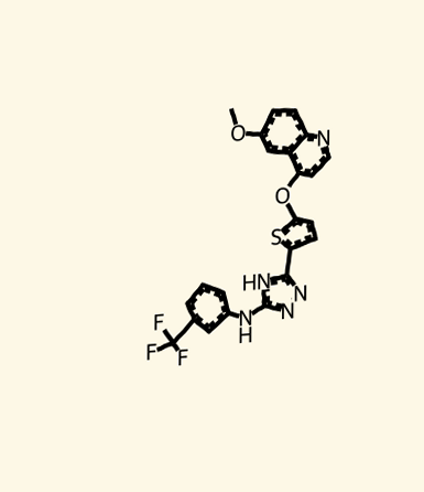 COc1ccc2nccc(Oc3ccc(-c4nnc(Nc5cccc(C(F)(F)F)c5)[nH]4)s3)c2c1